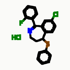 Cl.Fc1ccccc1C1=NCCC(Sc2ccccc2)c2ccc(Cl)cc21